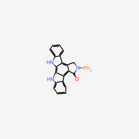 O=C1c2c(c3c4ccccc4[nH]c3c3[nH]c4ccccc4c23)CN1P